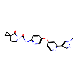 Cn1cc(-c2cc(Oc3ccc(NC(=O)N4CCC5(CC5)C4=O)nc3)ccn2)cn1